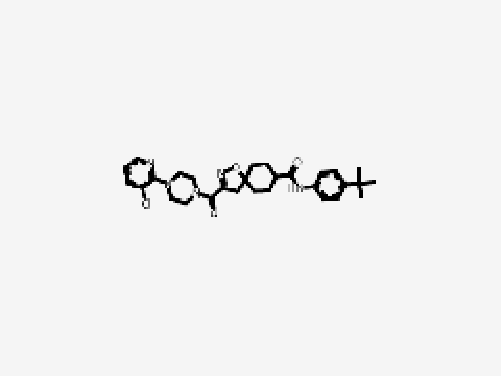 CC(C)(C)c1ccc(NC(=O)C2CCC3(CC2)CC(C(=O)N2CCN(c4ncccc4Cl)CC2)=NO3)cc1